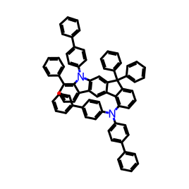 c1ccc(-c2ccc(N(c3ccc(-c4ccccc4)cc3)c3cccc4c3-c3cc5c6cccc(-c7ccccc7)c6n(-c6ccc(-c7ccccc7)cc6)c5cc3C4(c3ccccc3)c3ccccc3)cc2)cc1